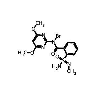 CN=S(N)(=O)c1ccccc1C(=O)N(Br)c1nc(OC)cc(OC)n1